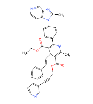 CCOC(=O)C1=C(c2ccc(-n3c(C)nc4cnccc43)cc2)NC(C)=C(C(=O)OCC#Cc2cccnc2)C1/C=C/c1ccccc1